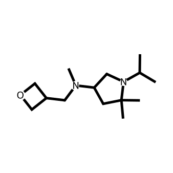 CC(C)N1CC(N(C)CC2COC2)CC1(C)C